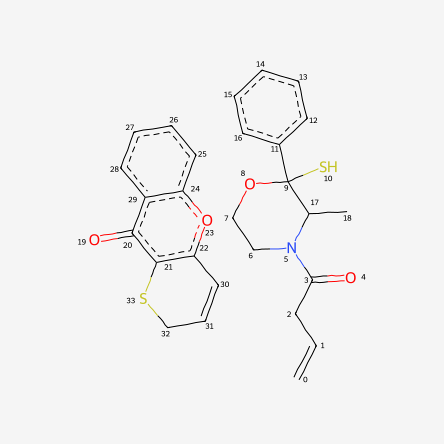 C=CCC(=O)N1CCOC(S)(c2ccccc2)C1C.O=c1c2c(oc3ccccc13)C=CCS2